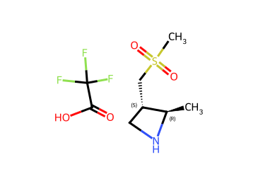 C[C@H]1NC[C@@H]1CS(C)(=O)=O.O=C(O)C(F)(F)F